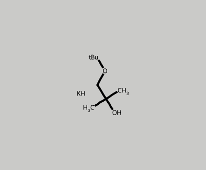 CC(C)(O)COC(C)(C)C.[KH]